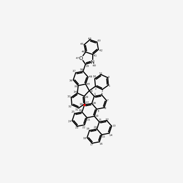 c1ccc(C2(c3cccc4c(-c5cccc6ccccc56)c5ccccc5cc34)c3ccccc3-c3ccc(-c4nc5ccccc5o4)cc32)cc1